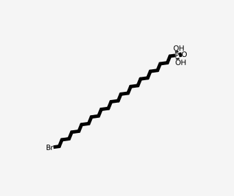 O=P(O)(O)CCCCCCCCCCCCCCCCCCCCCCCCBr